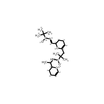 CC(N[S+]([O-])C(C)(C)CC1=CCCC(/C=N/[S+]([O-])C(C)(C)C)O1)C1CCC=CO1